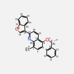 CCc1ccc(O[C@H](C)c2ccccc2)c2ccc(-c3coc4ccccc34)nc12